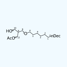 CCCCCCCCCCCCCCCCOCC(CO)COC(C)=O